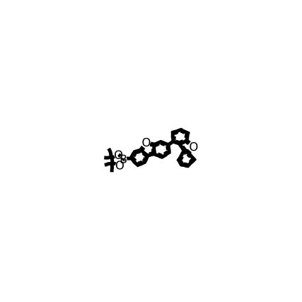 CC1(C)OB(c2ccc3c(c2)oc2cc(-c4cccc5oc6ccccc6c45)ccc23)OC1(C)C